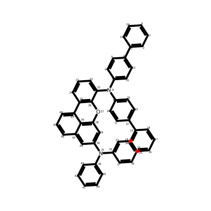 c1ccc(-c2ccc(N(c3ccc(-c4ccccc4)cc3)c3cccc4c3Oc3cc(N(c5ccccc5)c5ccccc5)cc5cccc-4c35)cc2)cc1